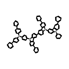 c1ccc(-c2ccc(N(c3ccc(-c4ccccc4)cc3)c3ccc(-n4c5ccc(-c6ccccc6)cc5c5cc(-c6ccc7c(c6)c6cc(-c8ccccc8)ccc6n7-c6ccc7c(c6)c6cc(-c8ccccc8)ccc6n7-c6ccccc6)ccc54)cc3)cc2)cc1